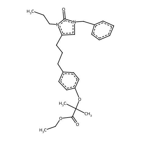 CCCn1c(CCCc2ccc(OC(C)(C)C(=O)OCC)cc2)cn(Cc2ccccc2)c1=O